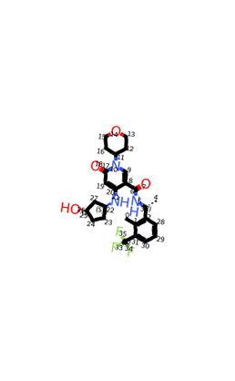 Cc1c([C@@H](C)NC(=O)c2cn(C3CCOCC3)c(=O)cc2N[C@H]2CC[C@H](O)C2)cccc1C(F)(F)F